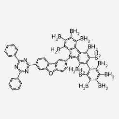 Bc1c(B)c(B)c(-c2c(B)c(B)c3c4c(B)c(B)c(B)c(B)c4n(-c4ccc5oc6cc(-c7nc(-c8ccccc8)nc(-c8ccccc8)n7)ccc6c5c4)c3c2B)c(B)c1B